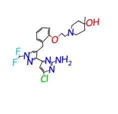 CC1(O)CCN(CCOc2ccccc2Cc2cn(C(F)F)nc2-c2cc(Cl)nc(N)n2)CC1